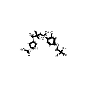 CC(C)(CS(=O)(=O)c1ccc(OCC(F)(F)F)cc1Cl)C(=O)[C@H]1CN[C@H](C(=O)O)C1